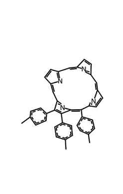 Cc1ccc(C2=C3N=C(C=C4C=CC(=N4)C=C4C=CC(=N4)C=C4C=CC2=N4)C(c2ccc(C)cc2)=C3c2ccc(C)cc2)cc1